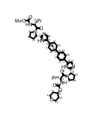 COC(=O)N[C@H](C(=O)N1CCC[C@H]1c1ncc(C23CCC(c4ccc(-c5cnc([C@@H]6CCCN6C(=O)[C@H](NC(=O)OC6CCOCC6)C(C)C)[nH]5)cc4)(CC2)CC3)[nH]1)C(C)C